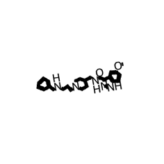 COc1ccc2[nH]nc(C(=O)NCC3CCN(CCCNCc4ccccc4)CC3)c2c1